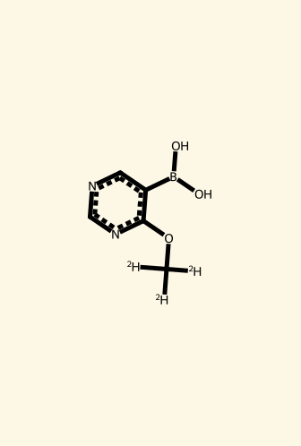 [2H]C([2H])([2H])Oc1ncncc1B(O)O